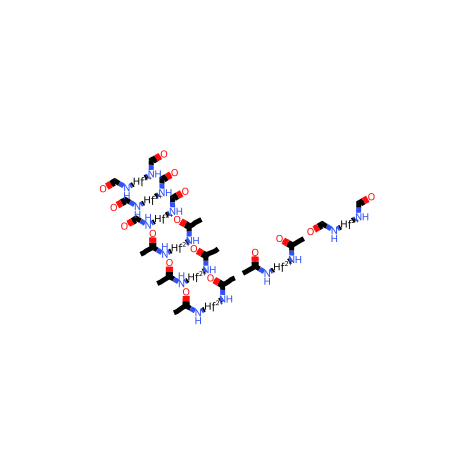 CC(=O)[NH][Hf+2][NH]C(C)=O.CC(=O)[NH][Hf+2][NH]C(C)=O.CC(=O)[NH][Hf+2][NH]C(C)=O.CC(=O)[NH][Hf+2][NH]C(C)=O.O=C[NH][Hf+2][NH]C=O.O=C[NH][Hf+2][NH]C=O.O=C[NH][Hf+2][NH]C=O.O=C[NH][Hf+2][NH]C=O